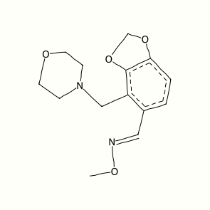 CON=Cc1ccc2c(c1CN1CCOCC1)OCO2